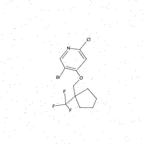 FC(F)(F)C1(COc2cc(Cl)ncc2Br)CCCC1